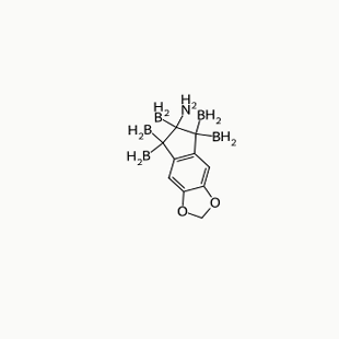 BC1(B)c2cc3c(cc2C(B)(B)C1(B)N)OCO3